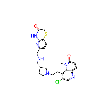 Cn1c(=O)ccc2ncc(Cl)c(CCN3CC[C@H](CNCc4ccc5c(n4)NC(=O)CS5)C3)c21